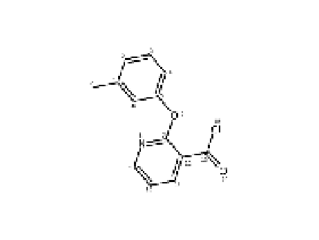 Cc1cccc(Oc2ncccc2C(=O)Cl)c1